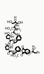 CC(C)C(N)C(=O)O.CC(C)CC(N)C(=O)O.CCC(C)C(N)C(=O)O.O=C(O)C(Cc1ccccc1)NC(=O)[C@@H]1CCCN1.O=C(O)C(Cc1ccccc1)NC(=O)[C@@H]1CCCN1.O=C1NC(=O)c2ccccc21.OCC(O)CO